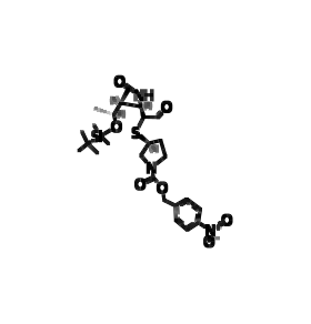 C[C@@H](O[Si](C)(C)C(C)(C)C)[C@H]1C(=O)N[C@H]1C(C=O)S[C@H]1CCN(C(=O)OCc2ccc([N+](=O)[O-])cc2)C1